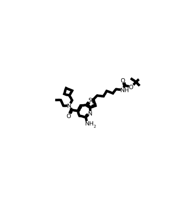 CCCN(CC1CCC1)C(=O)C1=Cc2sc(CCCCCNC(=O)OC(C)(C)C)cc2N=C(N)C1